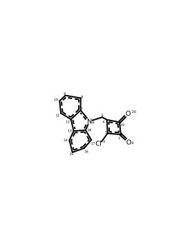 O=c1c(Cl)c(Cn2c3ccccc3c3ccccc32)c1=O